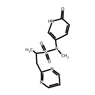 CC(Cc1ncccn1)S(=O)(=O)N(C)c1ccc(=O)[nH]c1